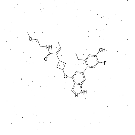 CC=C(C(=O)NCCOC)C1CC(Oc2cc(-c3cc(F)c(O)cc3CC)cc3[nH]ncc23)C1